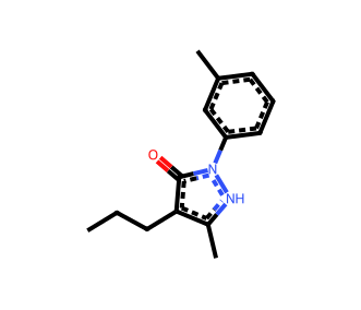 CCCc1c(C)[nH]n(-c2cccc(C)c2)c1=O